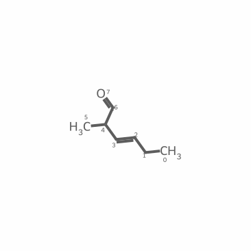 CCC=CC(C)[C]=O